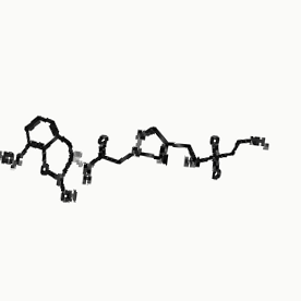 NCCS(=O)(=O)NCc1cnn(CC(=O)N[C@H]2Cc3cccc(C(=O)O)c3OB2O)n1